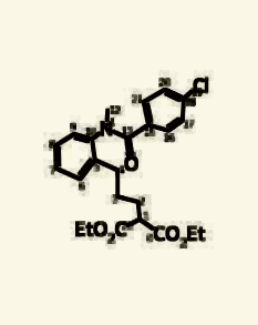 CCOC(=O)C(CCCc1ccccc1N(C)C(=O)c1ccc(Cl)cc1)C(=O)OCC